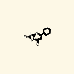 CCc1nn2c(=O)cc(C3=CCCCC3)nc2s1